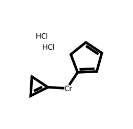 C1=CC[C]([Cr][C]2=CC2)=C1.Cl.Cl